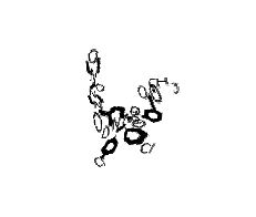 COC(=O)c1cccc(S(=O)(=O)N2c3ccc(C(=O)N4CCN(CC(=O)N5CCOCC5)CC4)c(=O)n3[C@@H](c3ccc(Cl)cc3)[C@H]2c2ccc(Cl)cc2)c1